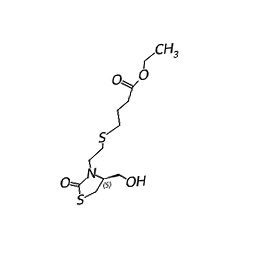 CCOC(=O)CCCSCCN1C(=O)SC[C@@H]1CO